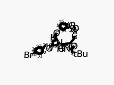 CC(C)(C)CC(=O)N[C@H]1CCCCS(=O)(=O)c2cccc(c2)OC[C@@H]2C[C@H](OCc3ccc(Br)cc3)CN2C1=O